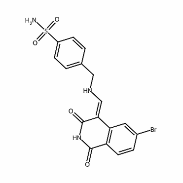 NS(=O)(=O)c1ccc(CN/C=C2\C(=O)NC(=O)c3ccc(Br)cc32)cc1